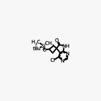 CC(C)(C)[Si](C)(C)OC1CC2(C1)C(=O)Nc1ncnc(Cl)c12